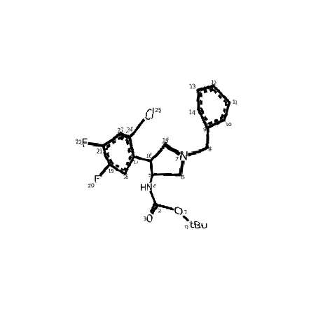 CC(C)(C)OC(=O)NC1CN(Cc2ccccc2)CC1c1cc(F)c(F)cc1Cl